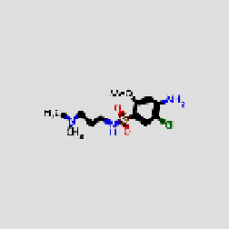 COc1cc(N)c(Cl)cc1S(=O)(=O)NCCCN(C)C